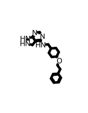 c1ccc(CCOC2CCC(CNc3ncnc4c3CNN4)CC2)cc1